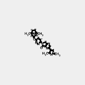 Cc1nn(C)cc1-c1cnc2c(n1)C(=O)N(c1ccc(OC3C[C@]4(C)CC[C@](C)(C3)N4)nn1)C2